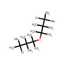 CCCCC(C)(CC)C(C)(C)C(C)(C)OC(C)(C)C(C)(C)C(C)(CC)CCCC